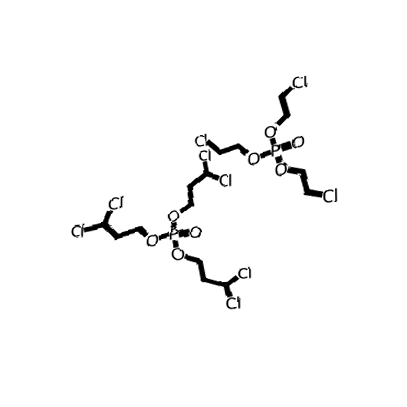 O=P(OCCC(Cl)Cl)(OCCC(Cl)Cl)OCCC(Cl)Cl.O=P(OCCCl)(OCCCl)OCCCl